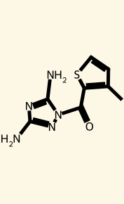 Cc1ccsc1C(=O)n1nc(N)nc1N